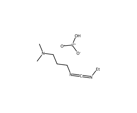 CCN=C=NCCCN(C)C.[O-][I+2]([O-])O